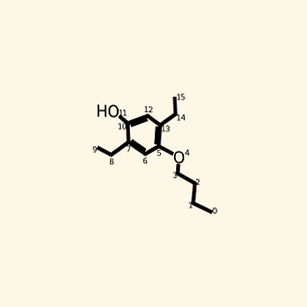 CCCCOc1cc(CC)c(O)cc1CC